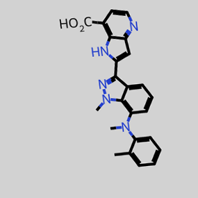 Cc1ccccc1N(C)c1cccc2c(-c3cc4nccc(C(=O)O)c4[nH]3)nn(C)c12